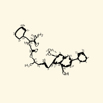 COc1cc2nc(-c3ccccc3)cc(O)c2cc1/C=C/CC(C)COC(=O)N[C@H](C(N)=O)C1CCCC1